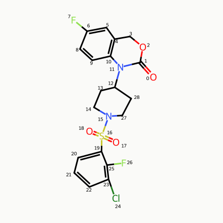 O=C1OCc2cc(F)ccc2N1C1CCN(S(=O)(=O)c2cccc(Cl)c2F)CC1